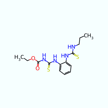 CCCNC(=S)Nc1ccccc1NC(=S)NC(=O)OCC